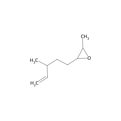 C=CC(C)CCC1OC1C